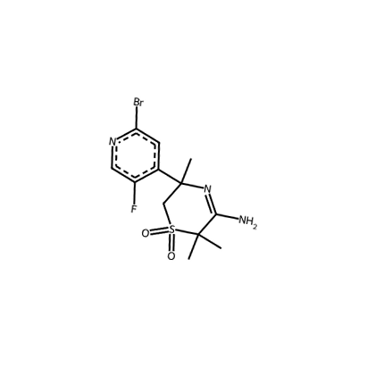 CC1(c2cc(Br)ncc2F)CS(=O)(=O)C(C)(C)C(N)=N1